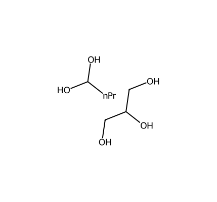 CCCC(O)O.OCC(O)CO